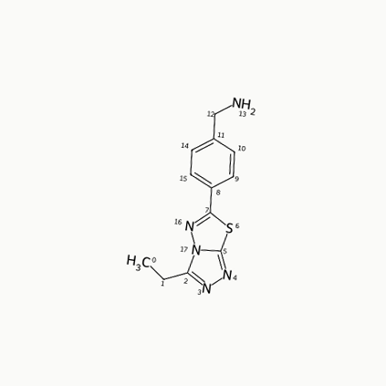 CCc1nnc2sc(-c3ccc(CN)cc3)nn12